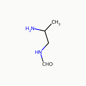 CC(N)CN[C]=O